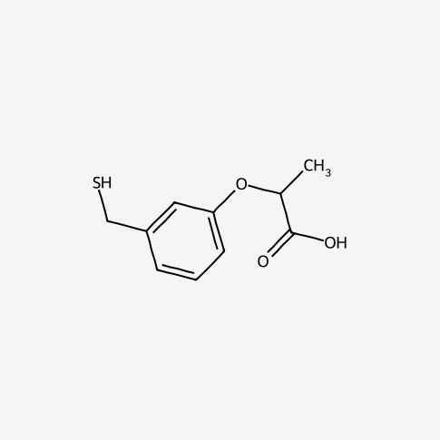 CC(Oc1cccc(CS)c1)C(=O)O